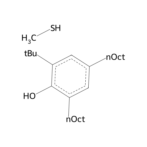 CCCCCCCCc1cc(CCCCCCCC)c(O)c(C(C)(C)C)c1.CS